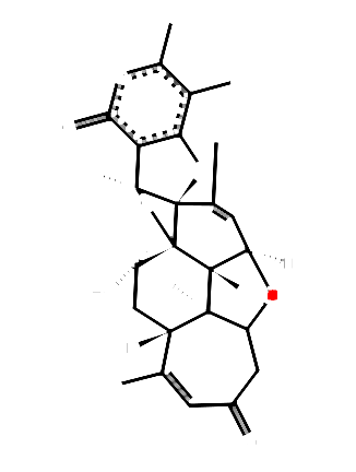 CC1=CC(=O)C[C@@H]2O[C@@H]3C=C(C)[C@@]45Oc6c(C)c(C)oc(=O)c6[C@@H]4O[C@H](O)[C@]54CC[C@@H]1[C@@]2(C)[C@@H]34